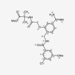 COC(=O)C(C)(C)NC(=O)COc1cc(C(=N)N)ccc1CNC(=O)c1cc(Cl)cc(OC)c1